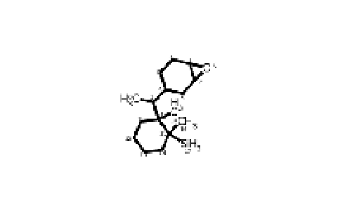 CC(C1CCC2OC2C1)C1(C)CCCCC1(C)[SiH3]